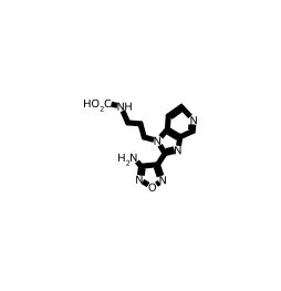 Nc1nonc1-c1nc2cnccc2n1CCCNC(=O)O